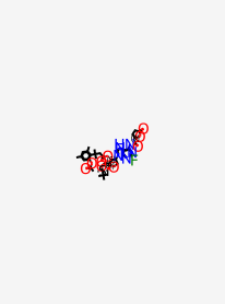 CC(=O)Oc1cc(C)cc(C)c1C(C)(C)CC(=O)O[C@H]1C(n2cnc3c(NC(=O)[C@H]4CCC(=O)O4)nc(F)nc32)CO[C@]1(C)CO[Si](C)(C)C(C)(C)C